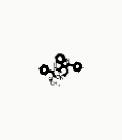 COC(=O)[C@H](NC(=O)c1c(CC#N)c(-c2ccccc2)nc2ccccc12)c1ccccc1